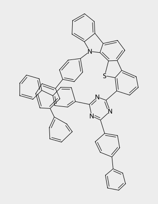 c1ccc(-c2ccc(-c3nc(-c4ccc(-c5ccccc5)cc4)nc(-c4cccc5c4sc4c5ccc5c6ccccc6n(-c6ccc(-c7cccc(-c8ccccc8)c7)cc6)c54)n3)cc2)cc1